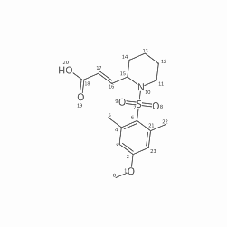 COc1cc(C)c(S(=O)(=O)N2CCCCC2/C=C/C(=O)O)c(C)c1